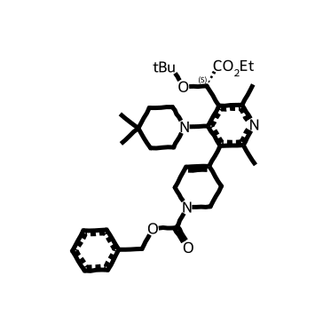 CCOC(=O)[C@@H](OC(C)(C)C)c1c(C)nc(C)c(C2=CCN(C(=O)OCc3ccccc3)CC2)c1N1CCC(C)(C)CC1